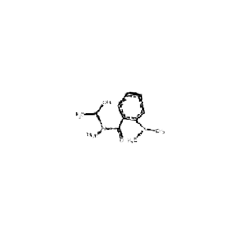 CC(O)N(C)C(=O)c1ccccc1N(C)C